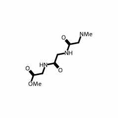 CNCC(=O)NCC(=O)NCC(=O)OC